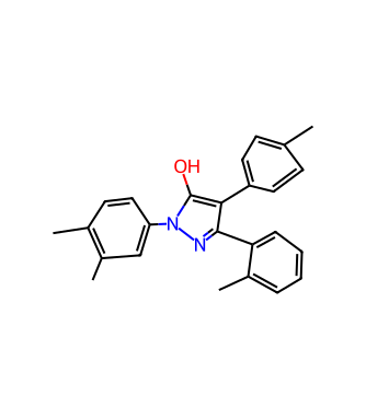 Cc1ccc(-c2c(-c3ccccc3C)nn(-c3ccc(C)c(C)c3)c2O)cc1